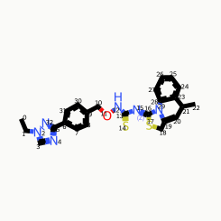 CCn1cnc(-c2ccc(CONC(=S)/N=C3\SCC4=CC(C)c5ccccc5N43)cc2)n1